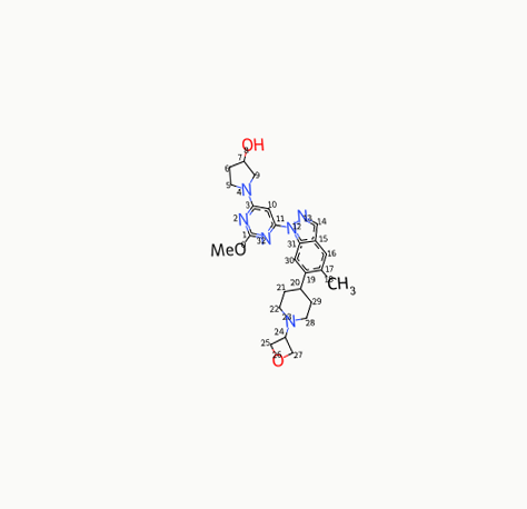 COc1nc(N2CCC(O)C2)cc(-n2ncc3cc(C)c(C4CCN(C5COC5)CC4)cc32)n1